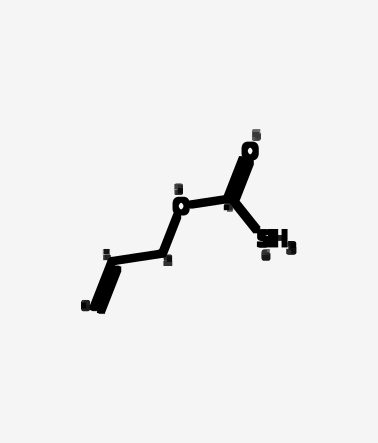 C=CCOC(=O)[SiH3]